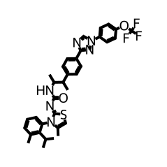 Cc1cccc(-n2c(C)cs/c2=N\C(=O)NC(C)C(C)c2ccc(-c3ncn(-c4ccc(OC(F)(F)F)cc4)n3)cc2)c1C(C)C